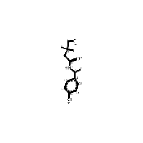 CC(NC(=O)CC(C)(C)CCl)c1ccc(Cl)cc1